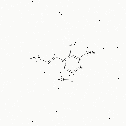 CC(=O)Nc1cccc(/C=C/C(=O)O)c1C.CO